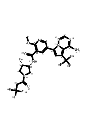 COc1ncc(-c2cc(C(F)(F)F)c3c(N)ncnn23)cc1C(=O)N[C@@H]1CN(C(=O)CC(F)(F)F)C[C@@H]1F